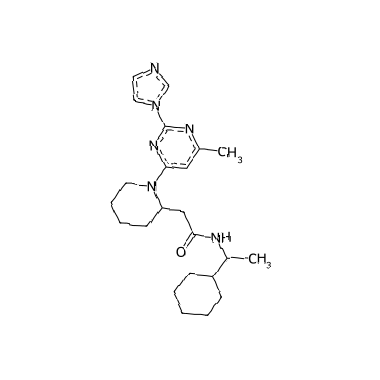 Cc1cc(N2CCCCC2CC(=O)NC(C)C2CCCCC2)nc(-n2ccnc2)n1